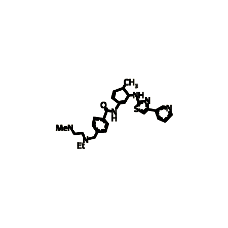 CCN(CCNC)Cc1ccc(C(=O)NC2=CC(Nc3nc(-c4cccnc4)cs3)C(C)C=C2)cc1